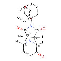 O=C1C=C[C@H]2[C@@H]3C(=O)N(c4ccccc4)C(=O)[C@@H]3[C@@H]1N2CCc1ccccc1